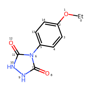 CCOc1ccc(-n2c(=O)[nH][nH]c2=O)cc1